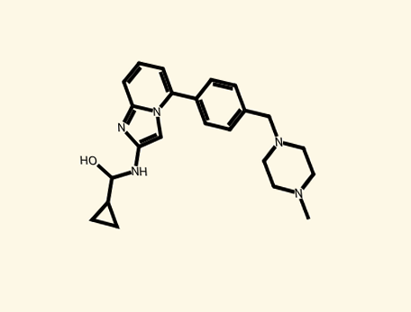 CN1CCN(Cc2ccc(-c3cccc4nc(NC(O)C5CC5)cn34)cc2)CC1